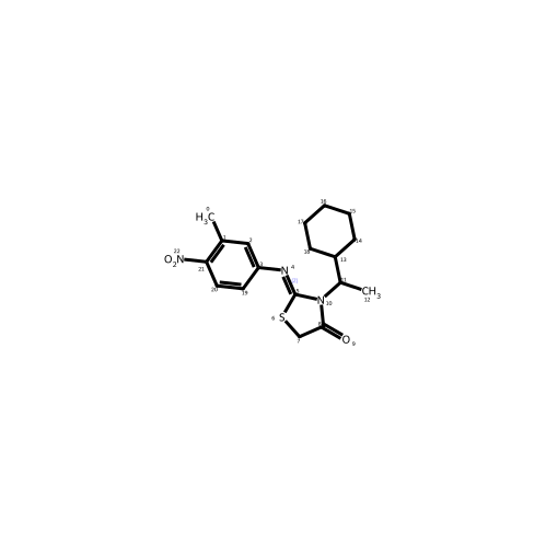 Cc1cc(/N=C2\SCC(=O)N2C(C)C2CCCCC2)ccc1[N+](=O)[O-]